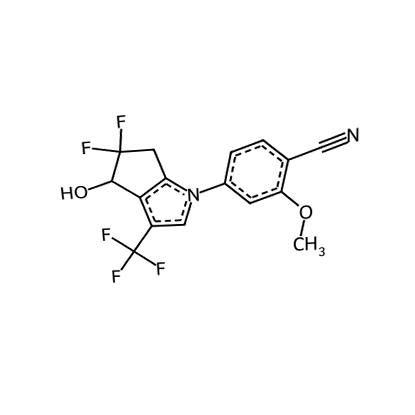 COc1cc(-n2cc(C(F)(F)F)c3c2CC(F)(F)C3O)ccc1C#N